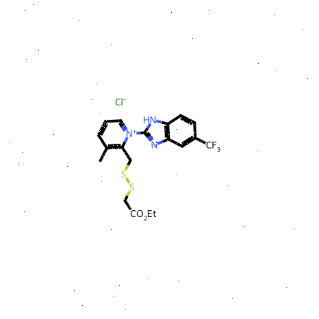 CCOC(=O)CSSCc1c(C)ccc[n+]1-c1nc2cc(C(F)(F)F)ccc2[nH]1.[Cl-]